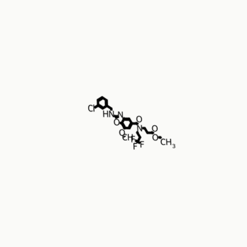 CCOC(=O)CCN(CCC(F)(F)F)C(=O)c1cc(OC)c2oc(NCc3cccc(Cl)c3)nc2c1